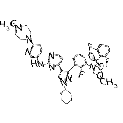 COCN(c1cccc(-c2nn(C3CCCCC3)cc2-c2ccnc(Nc3ccc(N4CCN(C)CC4)nc3)n2)c1F)S(=O)(=O)c1c(F)cccc1F